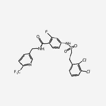 O=C(NCc1ccc(C(F)(F)F)nc1)c1ccc(NS(=O)(=O)CCc2cccc(Cl)c2Cl)cc1F